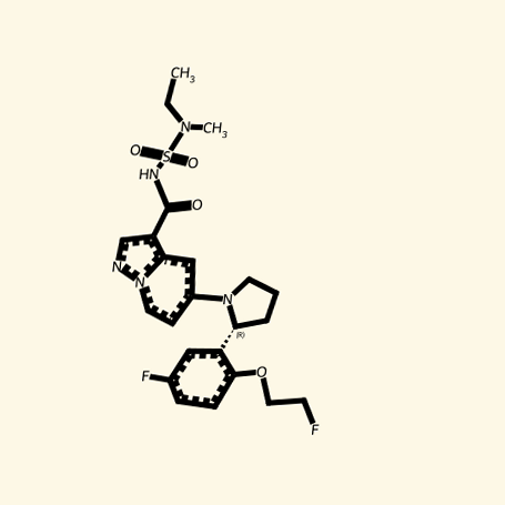 CCN(C)S(=O)(=O)NC(=O)c1cnn2ccc(N3CCC[C@@H]3c3cc(F)ccc3OCCF)cc12